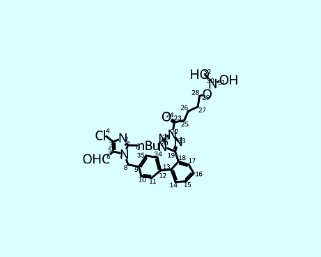 CCCCc1nc(Cl)c(C=O)n1Cc1ccc(-c2ccccc2-c2nnn(C(=O)CCCCON(O)O)n2)cc1